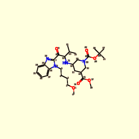 COCCCCn1c(C(=O)C(NC2CC(C(=O)OC)CN(C(=O)OC(C)(C)C)C2)C(C)C)nc2ccccc21